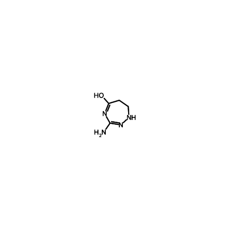 NC1=NNCCC(O)=N1